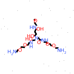 COCCNC(O)CCC(O)N(CC(=O)NCCOCCOCCN)CC(O)NCCOCCOCCN